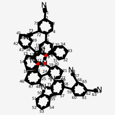 N#Cc1ccc(-c2ccc3c(c2)c2ccccc2n3-c2cccnc2-c2c(-c3nc(-c4ccccc4)nc(-c4ccccc4)n3)cccc2-n2c3ccccc3c3cc(-c4ccc(C#N)cc4C#N)ccc32)c(C#N)c1